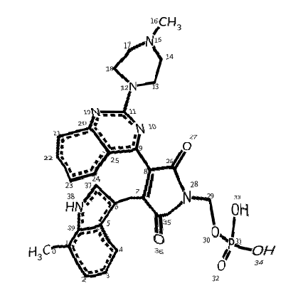 Cc1cccc2c(C3=C(c4nc(N5CCN(C)CC5)nc5ccccc45)C(=O)N(COP(=O)(O)O)C3=O)c[nH]c12